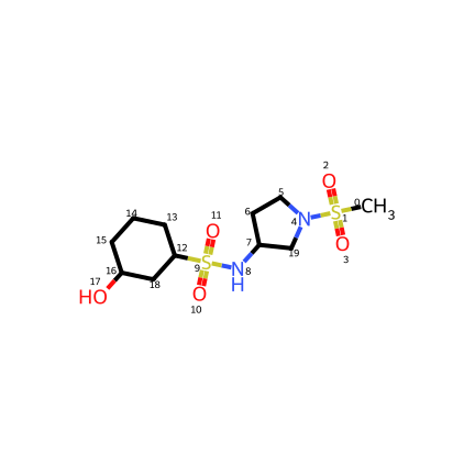 CS(=O)(=O)N1CCC(NS(=O)(=O)C2CCCC(O)C2)C1